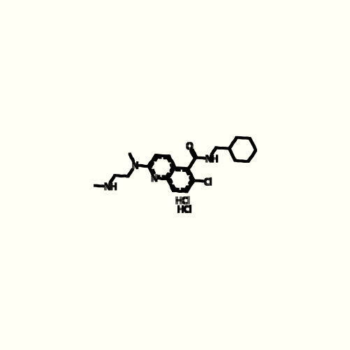 CNCCN(C)c1ccc2c(C(=O)NCC3CCCCC3)c(Cl)ccc2n1.Cl.Cl